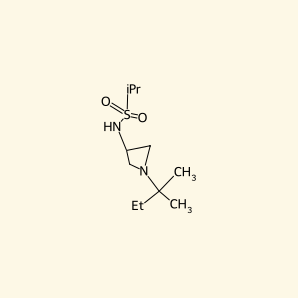 CCC(C)(C)N1CC(NS(=O)(=O)C(C)C)C1